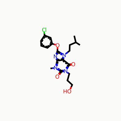 CC(C)CCn1c(Oc2cccc(Cl)c2)nc2c1c(=O)n(CCCO)c(=O)n2C